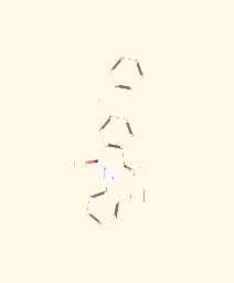 O=C1c2ccc(Oc3cc[c]cc3)cc2C(=O)N1c1ccccc1C(F)(F)F